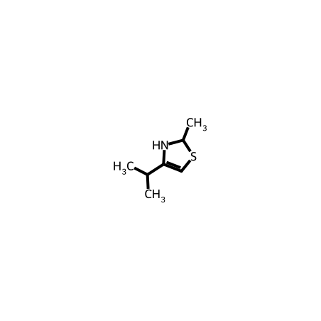 CC1NC(C(C)C)=CS1